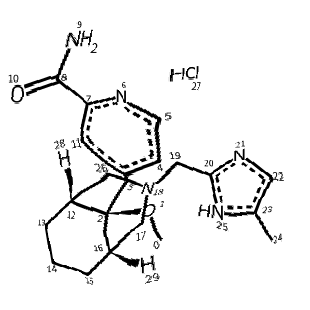 CO[C@]1(c2ccnc(C(N)=O)c2)[C@@H]2CCC[C@H]1CN(Cc1ncc(C)[nH]1)C2.Cl